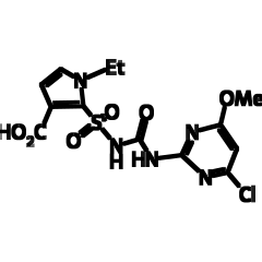 CCn1ccc(C(=O)O)c1S(=O)(=O)NC(=O)Nc1nc(Cl)cc(OC)n1